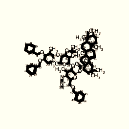 CC1C(OCc2ccccc2)[C@H](OCc2ccccc2)CO[C@H]1O[C@H]1C(C)O[C@@H](OC2C(C)[C@@H](N=[N+]=[N-])C(COCc3ccccc3)O[C@H]2OC(=O)[C@]23CCC(C)(C)CC2C2=CCC4C5(C)CC[C@H](C)[C@](C)(C=O)[C@@H]5CC[C@]4(C)[C@]2(C)CC3)C2OC(C)(C)OC21